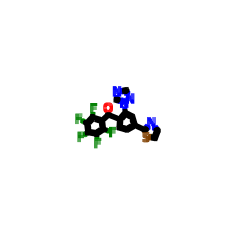 O=C(c1ccc(-c2nccs2)cc1-n1cncn1)c1c(F)c(F)c(F)c(F)c1F